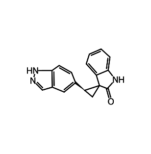 O=C1Nc2ccccc2C12C[C@H]2c1ccc2[nH]ncc2c1